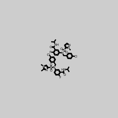 CC(C)NC(=O)c1cc(N(Cc2ccc(Cl)cc2)S(=O)(=O)c2ccnn2C)ccc1F.Cc1nc(S(=O)(=O)N(Cc2ccc(Cl)cc2)c2ccc(F)c(C(=O)NC(C)C)c2)cn1C